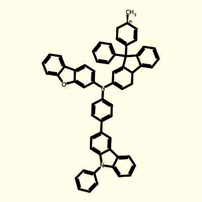 C[C@H]1C=CC(C2(c3ccccc3)C3=CC(N(c4ccc(-c5ccc6c(c5)c5ccccc5n6-c5ccccc5)cc4)c4ccc5c(c4)oc4ccccc45)=CCC3c3ccccc32)=CC1